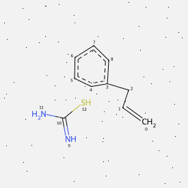 C=CCc1ccccc1.N=C(N)S